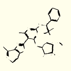 Cc1nc(N[C@@H](c2ccccc2)C(F)(F)F)nc(NC2C[C@H](CO)[C@@H](O)[C@H]2O)c1-c1nc2c(C)nccc2s1